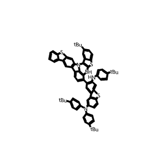 CC(C)(C)c1ccc(Nc2cc3sc4ccc(N(c5ccc(C(C)(C)C)cc5)c5ccc(C(C)(C)C)cc5)cc4c3cc2-c2ccc3c4cc5c(cc4n4c3c2Bc2sc3ccc(C(C)(C)C)cc3c2-4)sc2ccccc25)cc1